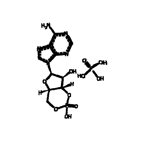 Nc1ncnc2c1ncn2[C@@H]1O[C@@H]2COP(=O)(O)O[C@H]2[C@H]1O.O=P(O)(O)O